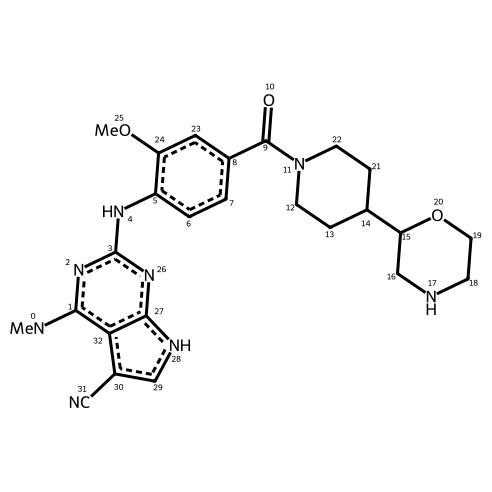 CNc1nc(Nc2ccc(C(=O)N3CCC(C4CNCCO4)CC3)cc2OC)nc2[nH]cc(C#N)c12